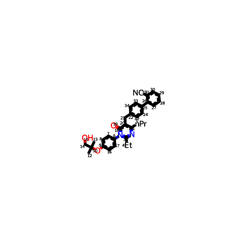 CCCc1nc(CC)n(-c2ccc(OC(C)(C)CO)cc2)c(=O)c1Cc1ccc(-c2ccccc2C#N)cc1